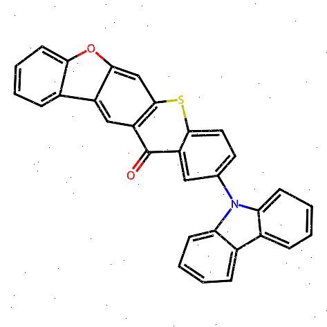 O=c1c2cc(-n3c4ccccc4c4ccccc43)ccc2sc2cc3oc4ccccc4c3cc12